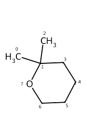 CC1(C)C[CH]CCO1